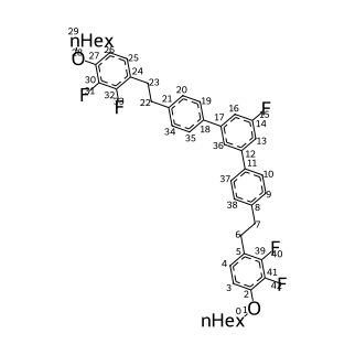 CCCCCCOc1ccc(CCc2ccc(-c3cc(F)cc(-c4ccc(CCc5ccc(OCCCCCC)c(F)c5F)cc4)c3)cc2)c(F)c1F